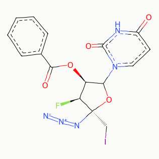 [N-]=[N+]=N[C@]1(CI)OC(n2ccc(=O)[nH]c2=O)[C@H](OC(=O)c2ccccc2)[C@@H]1F